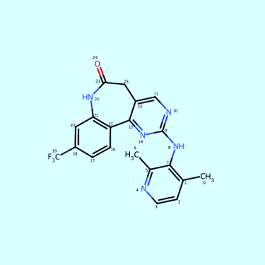 Cc1ccnc(C)c1Nc1ncc2c(n1)-c1ccc(C(F)(F)F)cc1NC(=O)C2